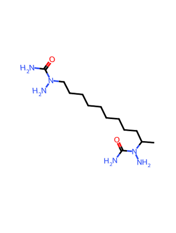 CC(CCCCCCCCCN(N)C(N)=O)N(N)C(N)=O